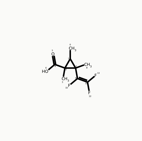 CC1C(C)(C(=O)O)C1(C)C(F)=C(F)F